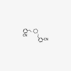 N#Cc1cccc(CC[C@H]2CCC[C@@H](CCc3cccc(C#N)c3)C2)c1